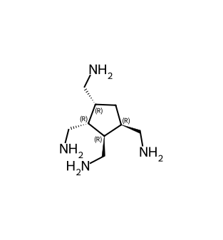 NC[C@@H]1C[C@@H](CN)[C@@H](CN)[C@@H]1CN